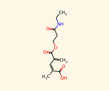 C=C(C=C(C)C(=O)O)C(=O)OCCC(=O)NCC